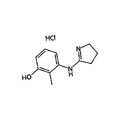 Cc1c(O)cccc1NC1=NCCC1.Cl